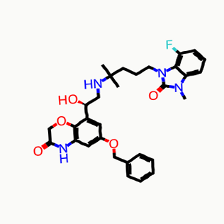 Cn1c(=O)n(CCCC(C)(C)NC[C@H](O)c2cc(OCc3ccccc3)cc3c2OCC(=O)N3)c2c(F)cccc21